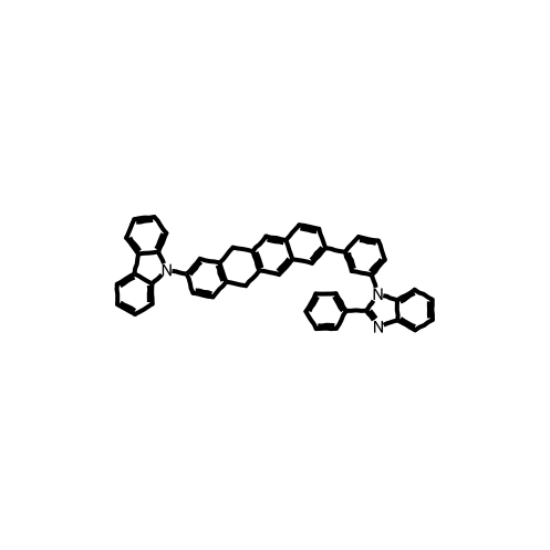 c1ccc(-c2nc3ccccc3n2-c2cccc(-c3ccc4cc5c(cc4c3)Cc3ccc(-n4c6ccccc6c6ccccc64)cc3C5)c2)cc1